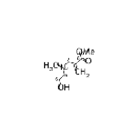 C=C(CN(C)CCO)C(=O)OC